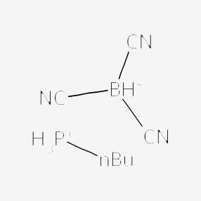 CCCC[PH3+].N#C[BH-](C#N)C#N